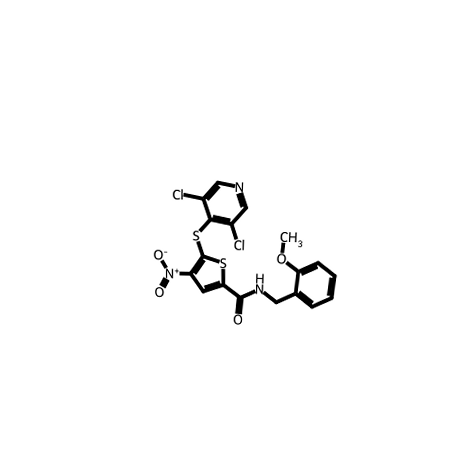 COc1ccccc1CNC(=O)c1cc([N+](=O)[O-])c(Sc2c(Cl)cncc2Cl)s1